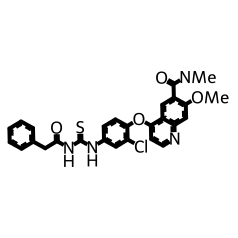 CNC(=O)c1cc2c(Oc3ccc(NC(=S)NC(=O)Cc4ccccc4)cc3Cl)ccnc2cc1OC